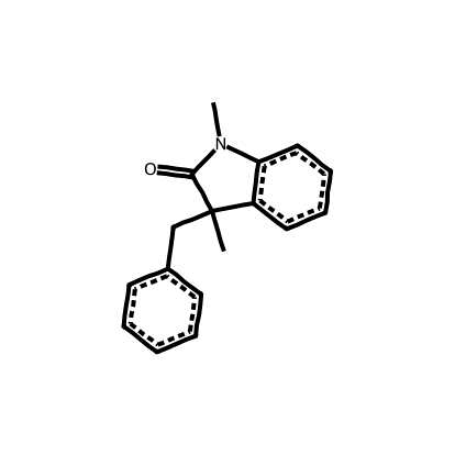 CN1C(=O)C(C)(Cc2ccccc2)c2ccccc21